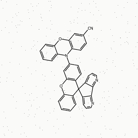 N#Cc1ccc2c(c1)Oc1ccccc1N2c1ccc2c(c1)Oc1ccccc1C21c2cccnc2-c2ncccc21